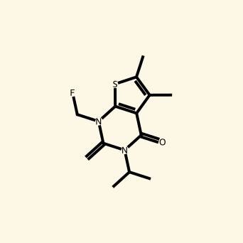 C=C1N(CF)c2sc(C)c(C)c2C(=O)N1C(C)C